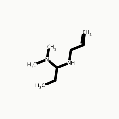 C=CCNC(CC)N(C)C